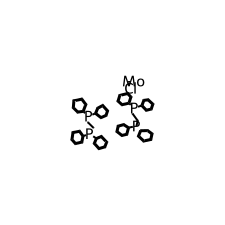 [Cl][Mo].c1ccc(P(CCP(c2ccccc2)c2ccccc2)c2ccccc2)cc1.c1ccc(P(CCP(c2ccccc2)c2ccccc2)c2ccccc2)cc1